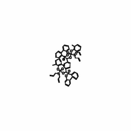 C=CCN(CC=C)P(=O)(Oc1c(C)cccc1C)OC(c1ccc(C(OP(=O)(Oc2c(C)cccc2C)N(CC=C)CC=C)P2(=O)Oc3ccccc3-c3ccccc32)cc1)P1(=O)Oc2ccccc2-c2ccccc21